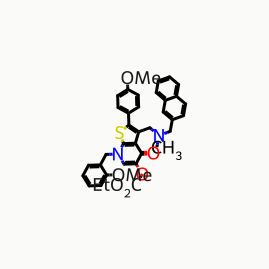 CCOC(=O)Oc1cn(Cc2ccccc2OC)c2sc(-c3ccc(OC)cc3)c(CN(C)Cc3ccc4ccccc4c3)c2c1=O